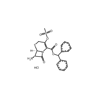 CS(=O)(=O)OC1=C(C(=O)OC(c2ccccc2)c2ccccc2)N2C(=O)[C@@H](N)[C@H]2SC1.Cl